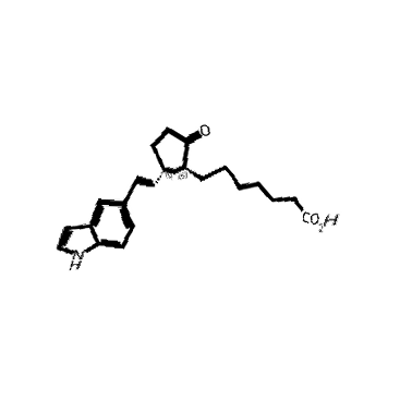 O=C(O)CCCCCC[C@@H]1C(=O)CC[C@H]1C=Cc1ccc2[nH]ccc2c1